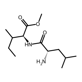 CCC(C)[C@H](NC(=O)[C@@H](N)CC(C)C)C(=O)OC